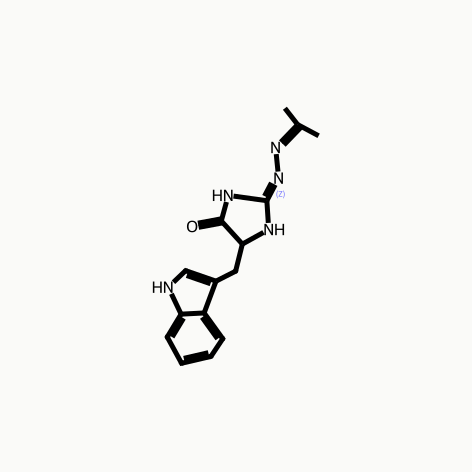 CC(C)=N/N=C1\NC(=O)C(Cc2c[nH]c3ccccc23)N1